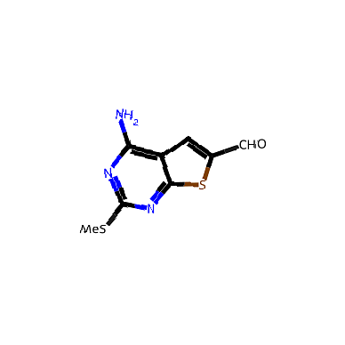 CSc1nc(N)c2cc(C=O)sc2n1